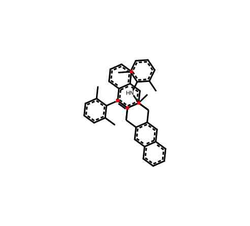 Cc1cccc(C)c1/N=C1\C2c3cc4ccccc4cc3C(c3cc4ccccc4cc32)C1(C)Nc1c(C)cccc1C